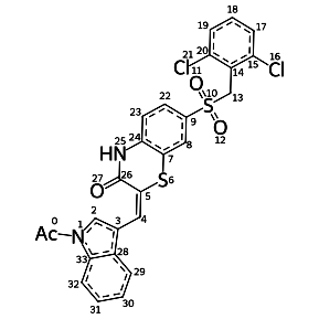 CC(=O)n1cc(C=C2Sc3cc(S(=O)(=O)Cc4c(Cl)cccc4Cl)ccc3NC2=O)c2ccccc21